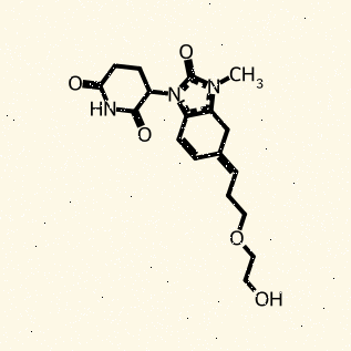 Cn1c2c(n(C3CCC(=O)NC3=O)c1=O)C=CC(=CCCOCCO)C2